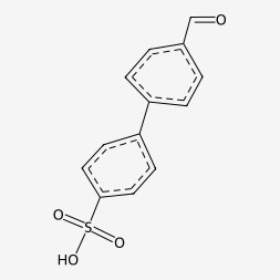 O=Cc1ccc(-c2ccc(S(=O)(=O)O)cc2)cc1